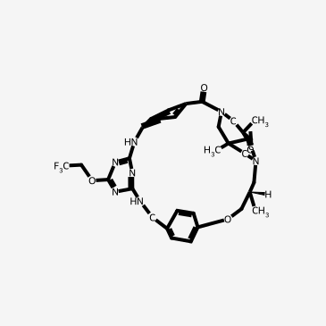 C[C@@H]1COc2ccc(cc2)CNc2nc(nc(OCC(F)(F)F)n2)Nc2ccc(cc2)C(=O)N2CC3(C)CN(C1)CC(C)(C2)C3=O